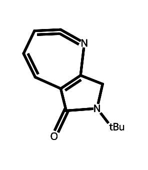 CC(C)(C)N1CC2=C(C=CC=C=N2)C1=O